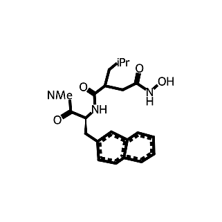 CNC(=O)[C@H](Cc1ccc2ccccc2c1)NC(=O)C(CC(=O)NO)CC(C)C